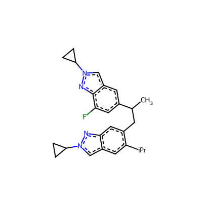 CC(C)c1cc2cn(C3CC3)nc2cc1CC(C)c1cc(F)c2nn(C3CC3)cc2c1